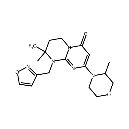 CC1COCCN1c1cc(=O)n2c(n1)N(Cc1ccon1)C(C)(C(F)(F)F)CC2